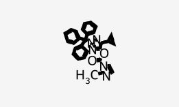 Cc1nccn1C(=O)Oc1nn(C(c2ccccc2)(c2ccccc2)c2ccccc2)nc1C1CC1